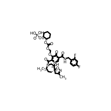 CC1=NO[C@@]2(CC[C@H](C)N3C[C@H]2n2cc(C(=O)NCc4ccc(F)cc4F)c(=O)c(OCOC(=O)O[C@H]4CCCC[C@H]4OP(=O)(O)O)c2C3=O)C1